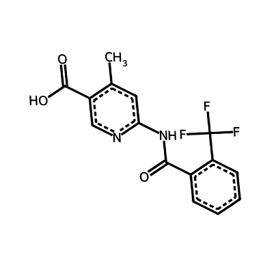 Cc1cc(NC(=O)c2ccccc2C(F)(F)F)ncc1C(=O)O